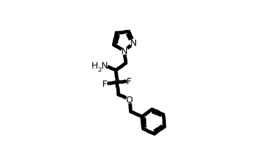 NC(Cn1cccn1)C(F)(F)COCc1ccccc1